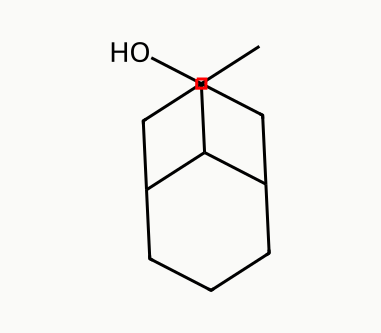 CC(O)C1C2CCCC1CCC2